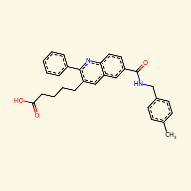 Cc1ccc(CNC(=O)c2ccc3nc(-c4ccccc4)c(CCCCC(=O)O)cc3c2)cc1